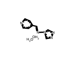 C(=Nn1cnnc1)c1ccncc1.O.O